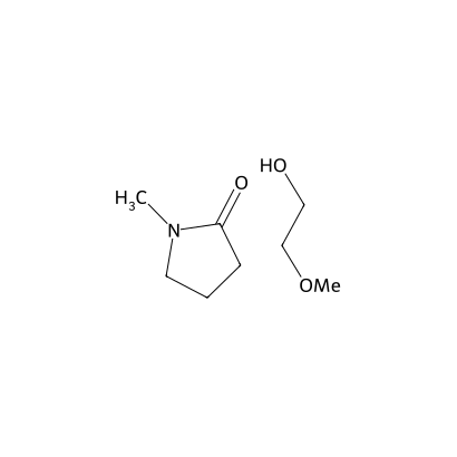 CN1CCCC1=O.COCCO